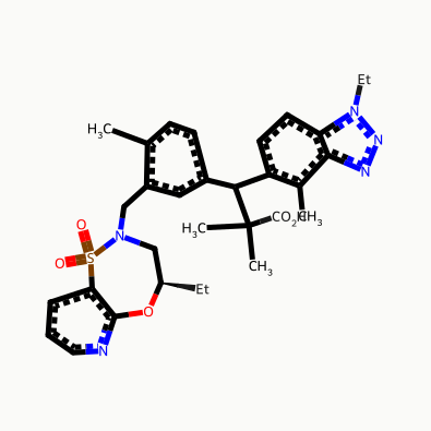 CC[C@@H]1CN(Cc2cc(C(c3ccc4c(nnn4CC)c3C)C(C)(C)C(=O)O)ccc2C)S(=O)(=O)c2cccnc2O1